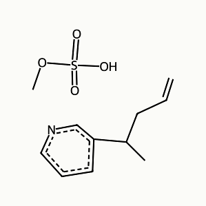 C=CCC(C)c1cccnc1.COS(=O)(=O)O